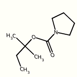 CCC(C)(C)OC(=O)N1CCCC1